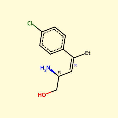 CC/C(=C/[C@H](N)CO)c1ccc(Cl)cc1